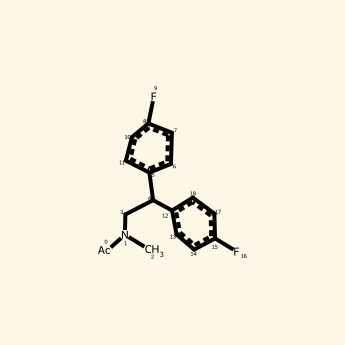 CC(=O)N(C)CC(c1ccc(F)cc1)c1ccc(F)cc1